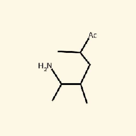 CC(=O)C(C)CC(C)C(C)N